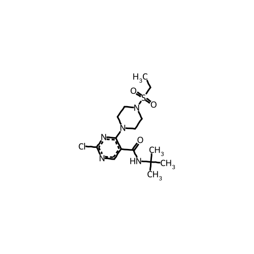 CCS(=O)(=O)N1CCN(c2nc(Cl)ncc2C(=O)NC(C)(C)C)CC1